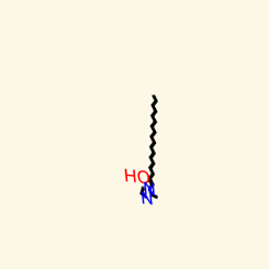 CCCCCCCCCCCCCCCCC(O)=CN1CCN=C1C